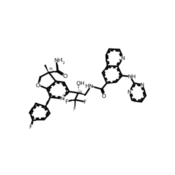 C[C@]1(C(N)=O)COc2c1cc([C@@](O)(CNC(=O)c1cc(Nc3ncccn3)c3ncccc3c1)C(F)(F)F)nc2-c1ccc(F)cc1